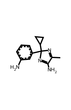 CC1=NC(c2cccc(N)c2)(C2CC2)N=C1N